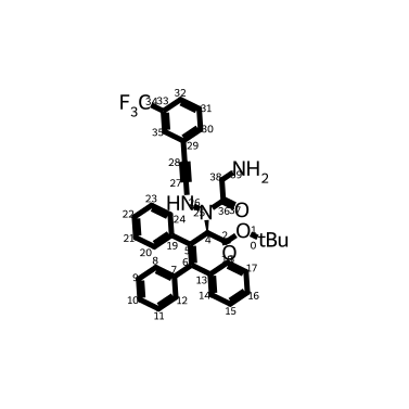 CC(C)(C)OC(=O)[C@@H](C(=C(c1ccccc1)c1ccccc1)c1ccccc1)N(NC#Cc1cccc(C(F)(F)F)c1)C(=O)CN